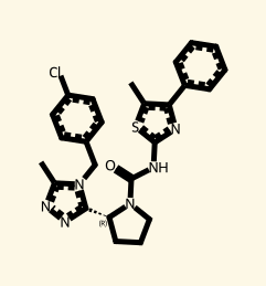 Cc1sc(NC(=O)N2CCC[C@@H]2c2nnc(C)n2Cc2ccc(Cl)cc2)nc1-c1ccccc1